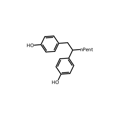 CCCCCC(Cc1ccc(O)cc1)c1ccc(O)cc1